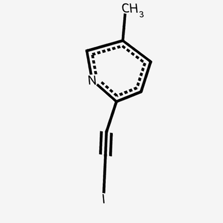 Cc1ccc(C#CI)nc1